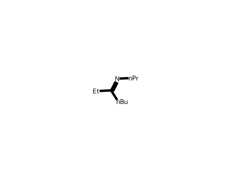 [CH2]C/C(CCCC)=N/CCC